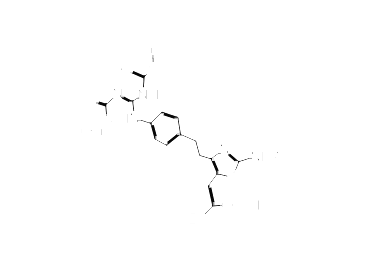 CCC(=Cc1sc(NC(C)=O)nc1CCc1ccc(NC(=NC(=O)OC(C)(C)C)NC(=O)OC(C)(C)C)cc1)C(=O)O